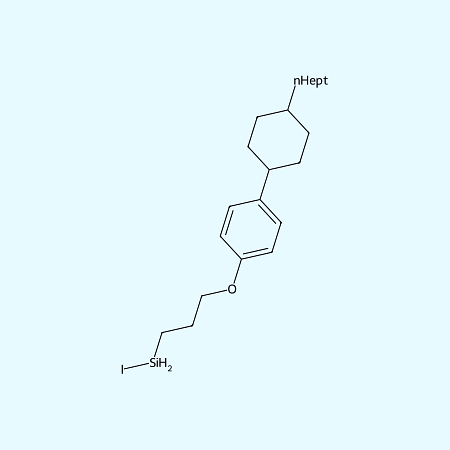 CCCCCCCC1CCC(c2ccc(OCCC[SiH2]I)cc2)CC1